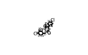 CC(C)[C@@H]1C(=O)N(c2ncc(Cl)cc2F)CC(=O)N1Cc1ccc(Cl)cc1